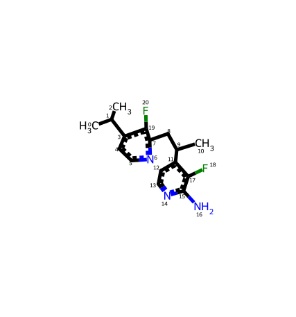 CC(C)c1ccnc(CC(C)c2ccnc(N)c2F)c1F